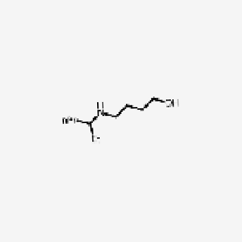 CCCC(CC)NCCCCO